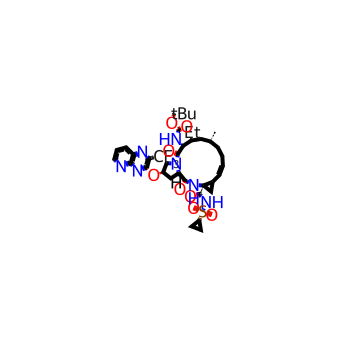 CC[C@@H]1C[C@H](C)CC/C=C\C2C[C@@]2(C(=O)NS(=O)(=O)C2CC2)NC(=O)[C@@H]2C[C@@H](Oc3nc4ncccc4nc3C(F)(F)F)CN2C(=O)[C@H]1NC(=O)OC(C)(C)C